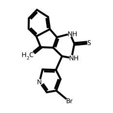 C=C1C2=C(NC(=S)NC2c2cncc(Br)c2)c2ccccc21